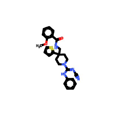 COc1ccccc1C(=O)NCC1(c2cccs2)CCN(/C(=N/C#N)Nc2ccccc2)CC1